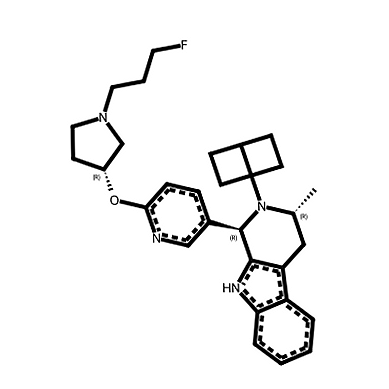 C[C@@H]1Cc2c([nH]c3ccccc23)[C@@H](c2ccc(O[C@@H]3CCN(CCCF)C3)nc2)N1C12CCC1CC2